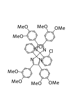 COc1ccc(C2=NC(c3ccccc3Cl)(C3(c4ccccc4Cl)N=C(c4ccc(OC)c(OC)c4)C(c4ccc(OC)c(OC)c4)=N3)N=C2c2ccc(OC)c(OC)c2)cc1OC